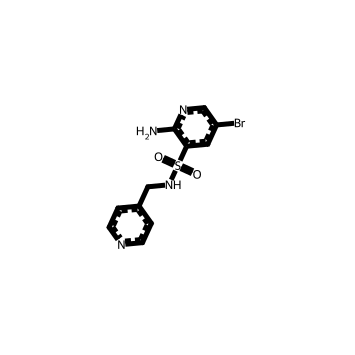 Nc1ncc(Br)cc1S(=O)(=O)NCc1ccncc1